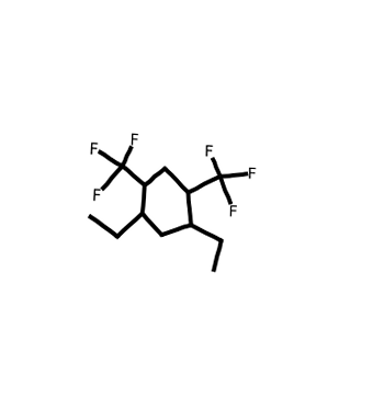 CCC1CC(CC)C(C(F)(F)F)CC1C(F)(F)F